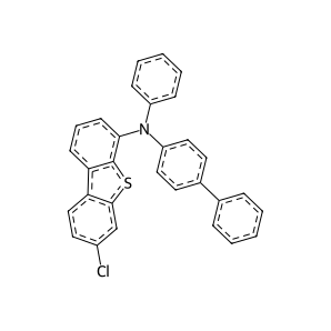 Clc1ccc2c(c1)sc1c(N(c3ccccc3)c3ccc(-c4ccccc4)cc3)cccc12